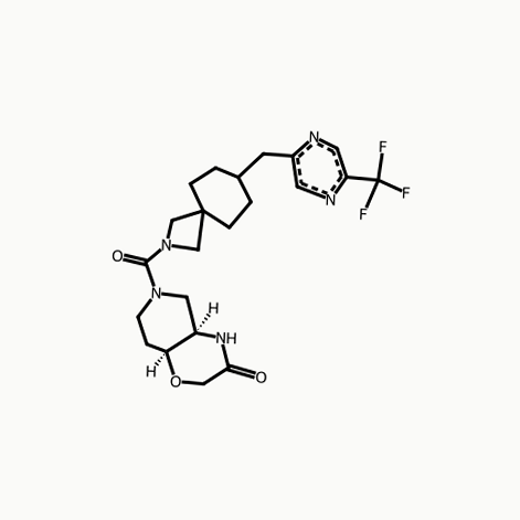 O=C1CO[C@H]2CCN(C(=O)N3CC4(CCC(Cc5cnc(C(F)(F)F)cn5)CC4)C3)C[C@H]2N1